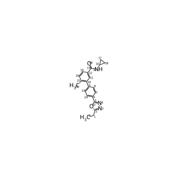 CCc1nnc(-c2ccc(-c3cc(C(=O)NC4CC4)ccc3C)cc2)o1